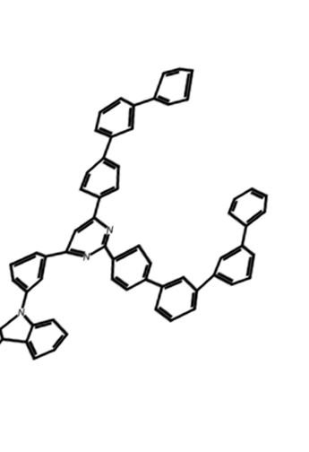 c1ccc(-c2cccc(-c3ccc(-c4cc(-c5cccc(-n6c7ccccc7c7ccccc76)c5)nc(-c5ccc(-c6cccc(-c7cccc(-c8ccccc8)c7)c6)cc5)n4)cc3)c2)cc1